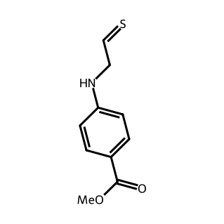 COC(=O)c1ccc(NCC=S)cc1